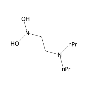 CCCN(CCC)CCN(O)O